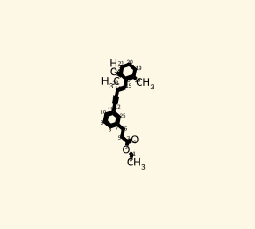 CCOC(=O)CCc1cccc(C#CC=CC2=C(C)CCCC2(C)C)c1